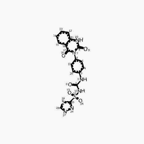 O=C(Nc1ccc(-n2c(=O)[nH]c3ccccc3c2=O)cc1)NS(=O)(=O)c1nncs1